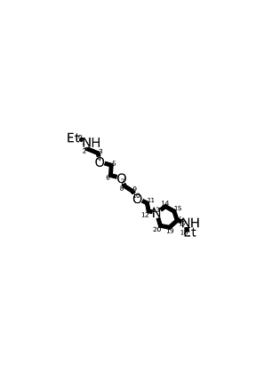 CCNCCOCCOCCOCCN1CCC(NCC)CC1